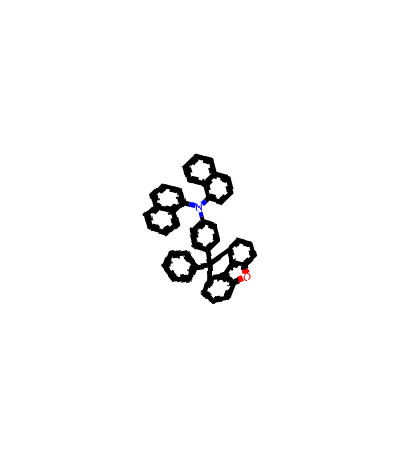 c1ccc(C2(c3ccc(N(c4cccc5ccccc45)c4cccc5ccccc45)cc3)c3cccc4oc5cccc2c5c34)cc1